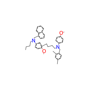 CCCCN(Cc1cccc2ccccc12)c1ccc(OC)c(CCCCN(Cc2ccc(C)cc2C)c2ccc(OC)cc2)c1